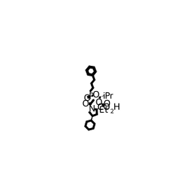 CCC(=O)O[C@H](O[P@@](=O)(CCCCc1ccccc1)CC(=O)N1C[C@H](C2CCCCC2)C[C@H]1C(=O)O)C(C)C